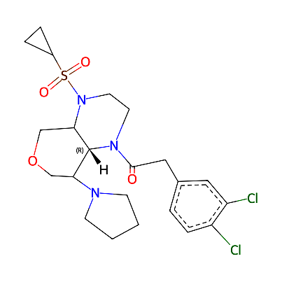 O=C(Cc1ccc(Cl)c(Cl)c1)N1CCN(S(=O)(=O)C2CC2)C2COCC(N3CCCC3)[C@H]21